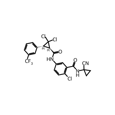 N#CC1(NC(=O)c2cc(NC(=O)[C@H]3[C@H](c4cccc(C(F)(F)F)c4)C3(Cl)Cl)ccc2Cl)CC1